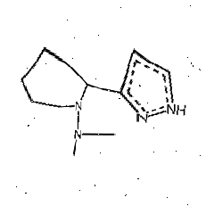 CN(C)N1CCCCC1c1cc[nH]n1